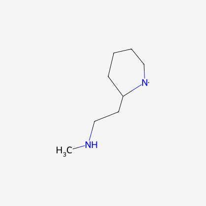 CNCCC1CCCC[N]1